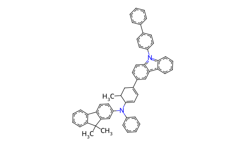 CC1CC(c2ccc3c(c2)c2ccccc2n3-c2ccc(-c3ccccc3)cc2)=CC=C1N(c1ccccc1)c1ccc2c(c1)C(C)(C)c1ccccc1-2